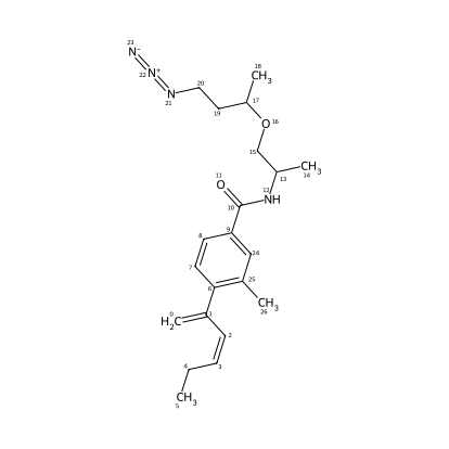 C=C(/C=C\CC)c1ccc(C(=O)NC(C)COC(C)CCN=[N+]=[N-])cc1C